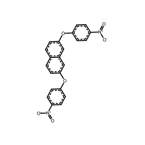 O=[N+]([O-])c1ccc(Oc2ccc3ccc(Oc4ccc([N+](=O)[O-])cc4)cc3c2)cc1